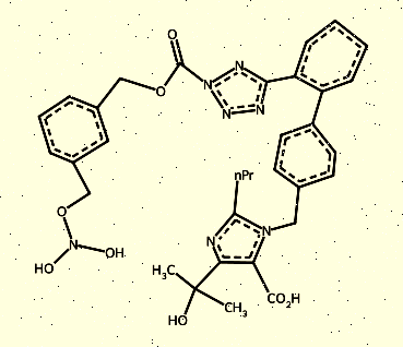 CCCc1nc(C(C)(C)O)c(C(=O)O)n1Cc1ccc(-c2ccccc2-c2nnn(C(=O)OCc3cccc(CON(O)O)c3)n2)cc1